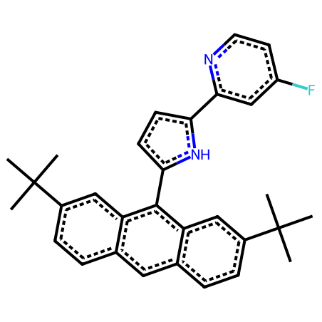 CC(C)(C)c1ccc2cc3ccc(C(C)(C)C)cc3c(-c3ccc(-c4cc(F)ccn4)[nH]3)c2c1